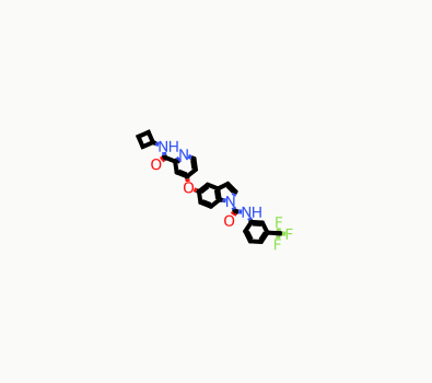 O=C(NC1CCC1)c1cc(Oc2ccc3c(ccn3C(=O)Nc3cccc(C(F)(F)F)c3)c2)ccn1